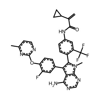 C=C(C(=O)Nc1ccc(-c2c(-c3ccc(Oc4nccc(C)n4)c(F)c3)c3c(N)ncnc3n2C)c(C(F)(F)F)c1)C1CC1